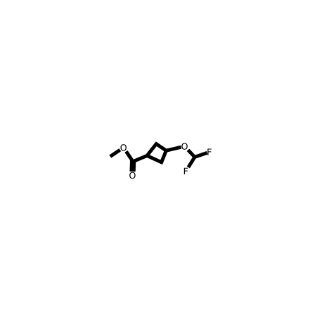 COC(=O)C1CC(OC(F)F)C1